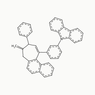 C=C1Cc2ccc3ccccc3c2C(c2cccc(-n3c4ccccc4c4ccccc43)c2)=CC1c1ccccc1